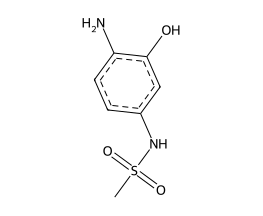 CS(=O)(=O)Nc1ccc(N)c(O)c1